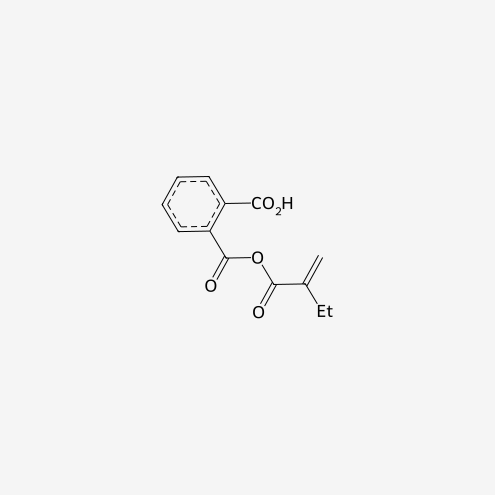 C=C(CC)C(=O)OC(=O)c1ccccc1C(=O)O